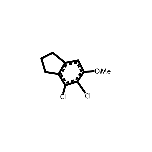 COc1cc2c(c(Cl)c1Cl)CCC2